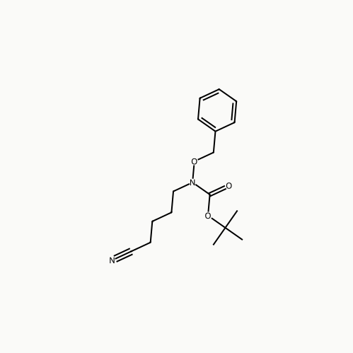 CC(C)(C)OC(=O)N(CCCCC#N)OCc1ccccc1